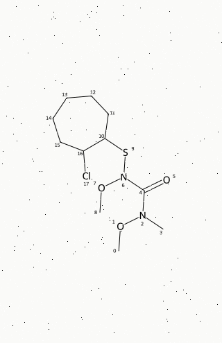 CON(C)C(=O)N(OC)SC1CCCCCC1Cl